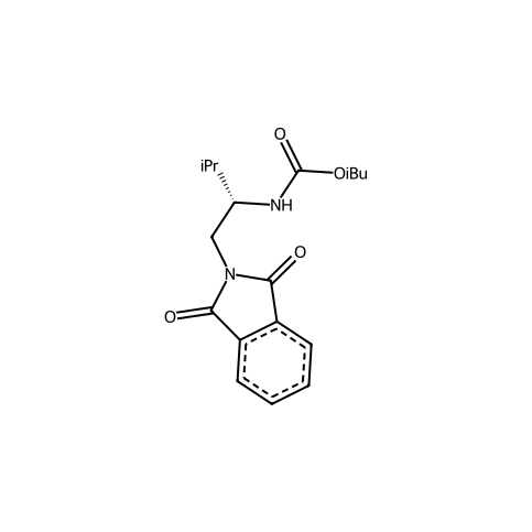 CC(C)COC(=O)N[C@H](CN1C(=O)c2ccccc2C1=O)C(C)C